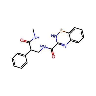 CNC(=O)C(CNC(=O)C1=Nc2ccccc2SN1)c1ccccc1